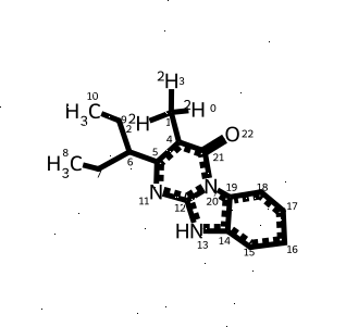 [2H]C([2H])([2H])c1c(C(CC)CC)nc2[nH]c3ccccc3n2c1=O